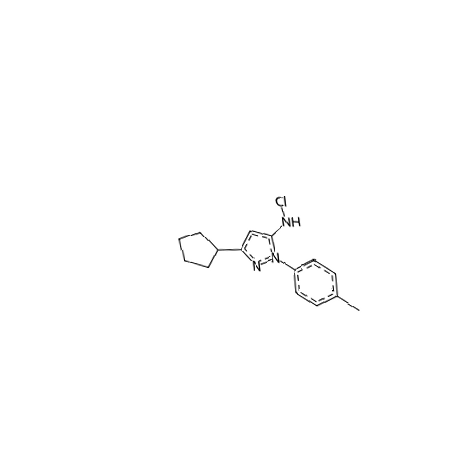 Cc1ccc(-n2nc(C3CCCC3)cc2NCl)cc1